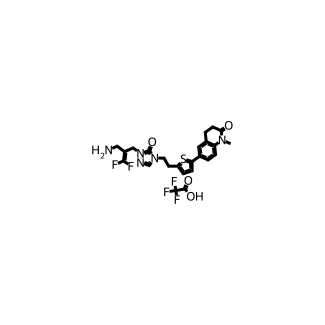 CN1C(=O)CCc2cc(-c3ccc(CCn4cnn(CC(CN)=C(F)F)c4=O)s3)ccc21.O=C(O)C(F)(F)F